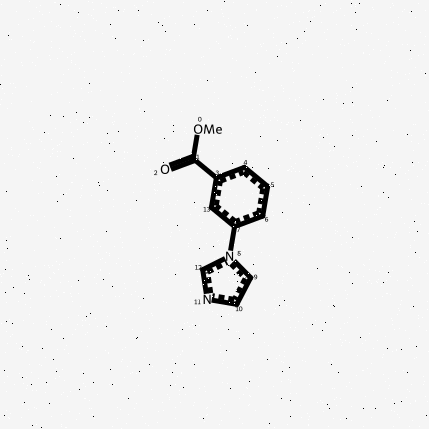 COC(=O)c1cccc(-n2ccnc2)c1